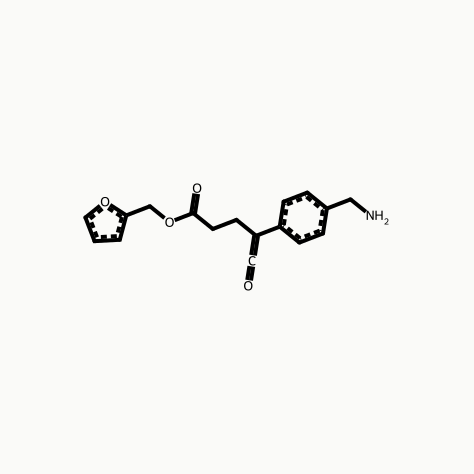 NCc1ccc(C(=C=O)CCC(=O)OCc2ccco2)cc1